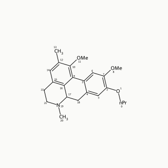 CCCOc1cc2c(cc1OC)-c1c(OC)c(C)cc3c1C(C2)N(C)CC3